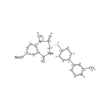 COc1ccc2c(c1)C(=O)N[C@@H](Cc1ccc(-c3ccnc(C)c3)cc1)C(=O)N2C